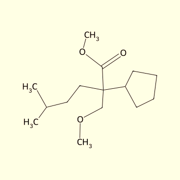 COCC(CCC(C)C)(C(=O)OC)C1CCCC1